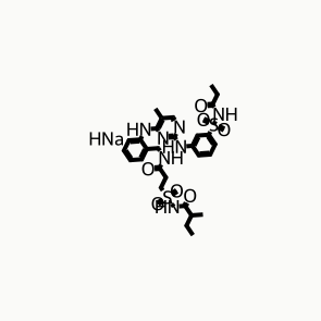 CCC(=O)NS(=O)(=O)c1cccc(Nc2ncc(C)c(Nc3ccccc3CNC(=O)CCS(=O)(=O)NC(=O)C(C)CC)n2)c1.[NaH]